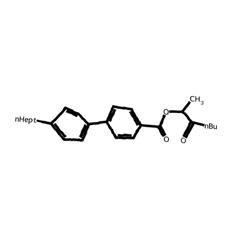 CCCCCCCc1ccc(-c2ccc(C(=O)OC(C)C(=O)CCCC)cc2)cc1